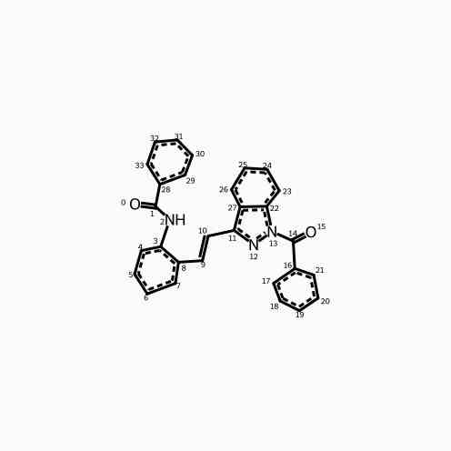 O=C(Nc1ccccc1/C=C/c1nn(C(=O)c2ccccc2)c2ccccc12)c1ccccc1